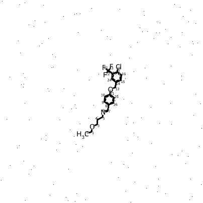 CCOCCC/N=C/c1ccc(OCc2ccc(Cl)c(C(F)(F)F)c2)cc1